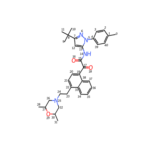 Cc1ccc(-n2nc(C(C)(C)C)cc2NC(=O)C(=O)c2ccc(CCN3CC(C)OC(C)C3)c3ccccc23)cc1